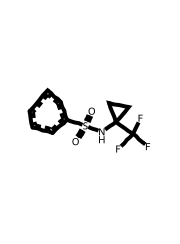 O=S(=O)(NC1(C(F)(F)F)CC1)c1ccccc1